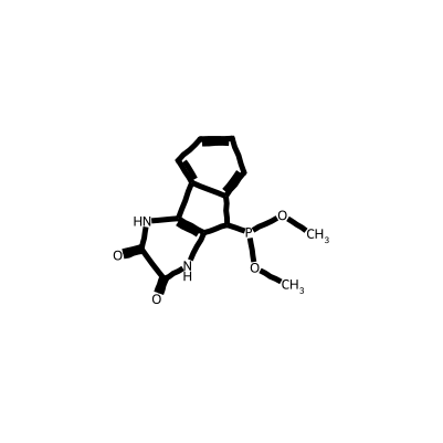 COP(OC)C1c2ccccc2-c2[nH]c(=O)c(=O)[nH]c21